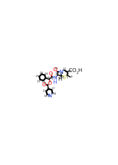 CC1S[C@@H]2C(NC(=O)C(OC(=O)c3ccncc3)c3ccccc3)C(=O)N2C=C1C(=O)O